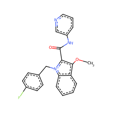 COc1c(C(=O)Nc2cccnc2)n(Cc2ccc(F)cc2)c2ccccc12